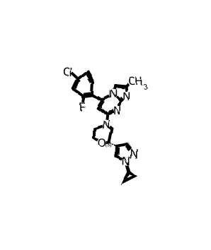 Cc1cn2c(-c3ccc(Cl)cc3F)cc(N3CCO[C@@H](c4cnn(C5CC5)c4)C3)nc2n1